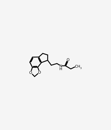 CCC(=O)NCCC1CCc2ccc3c(c21)OCO3